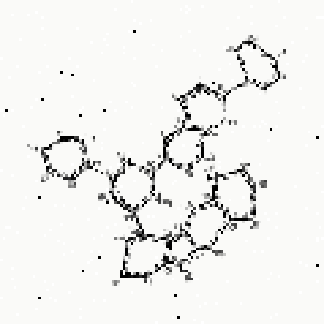 c1ccc(-c2ccc3cc(-c4nc(-c5ccccc5)nc(-c5cccc6oc7cc8cccnc8cc7c56)n4)ccc3c2)cc1